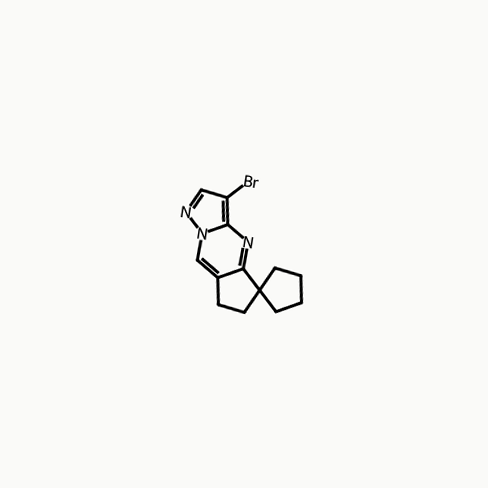 Brc1cnn2cc3c(nc12)C1(CCCC1)CC3